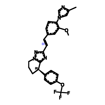 COc1cc(/C=C/c2nc3n(n2)CCC[C@@H]3c2ccc(OC(F)(F)F)cc2)ccc1-n1cnc(C)c1